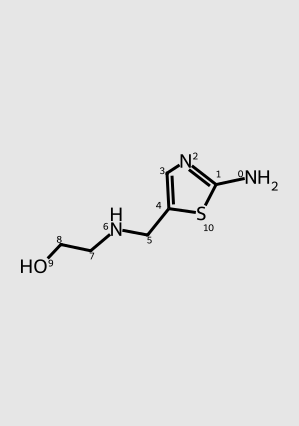 Nc1ncc(CNCCO)s1